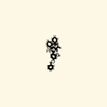 COc1cc(OCc2ccccc2)ccc1-c1nc2c(c(=O)[nH]1)[N+](C1CCCCC1)(C1CCCCC1)N=C2C